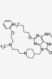 CCCCOc1nc(N)c2[nH]c(=O)n(CC3CCN(CCCN(C)CCOc4ccccc4)CC3)c2n1